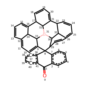 O=C1c2ccccc2C2(C3=CC=C4C=CC=C5C6C=CC=C7C8C=CC=C9C=CC2C(B(C76)C3C45)C98)c2ccccc21